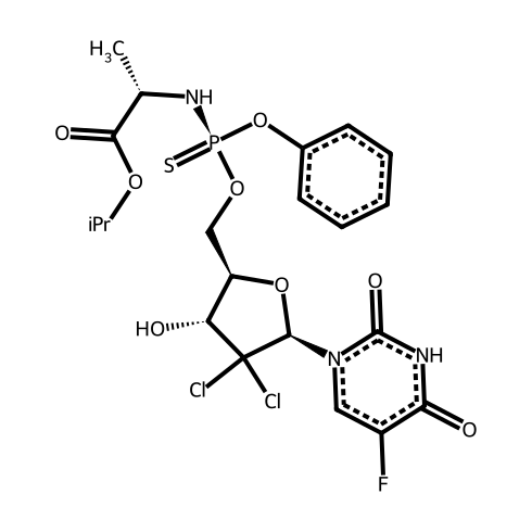 CC(C)OC(=O)[C@H](C)N[P@](=S)(OC[C@H]1O[C@@H](n2cc(F)c(=O)[nH]c2=O)C(Cl)(Cl)[C@@H]1O)Oc1ccccc1